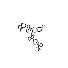 CC(CC(F)(F)F)OC(=O)N(C)[C@@H]1CN(C(=O)C2CCN(C(=O)C3(C)CC3)CC2)C[C@H]1c1ccc(Cl)cc1